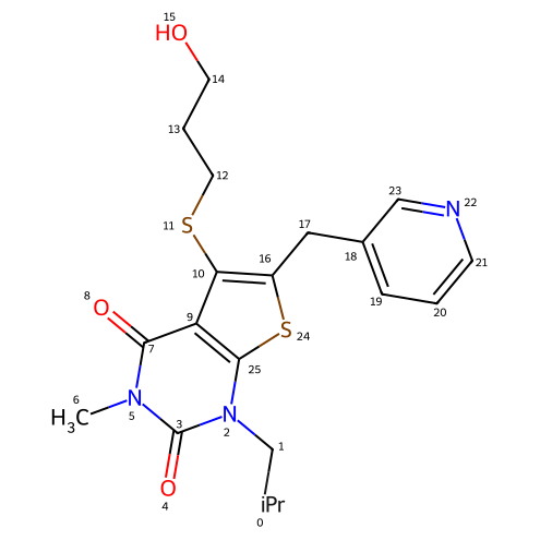 CC(C)Cn1c(=O)n(C)c(=O)c2c(SCCCO)c(Cc3cccnc3)sc21